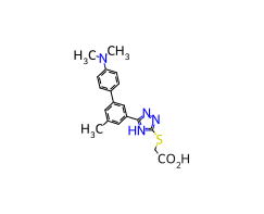 Cc1cc(-c2ccc(N(C)C)cc2)cc(-c2nnc(SCC(=O)O)[nH]2)c1